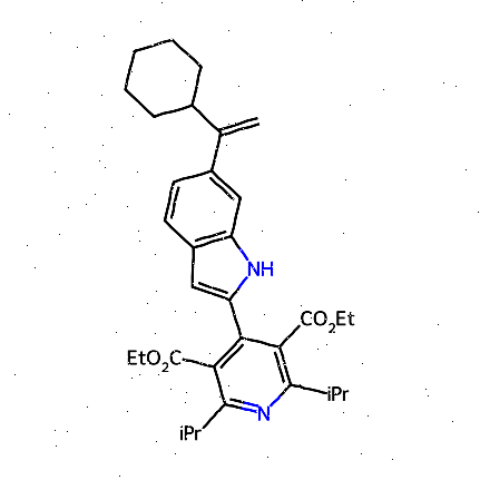 C=C(c1ccc2cc(-c3c(C(=O)OCC)c(C(C)C)nc(C(C)C)c3C(=O)OCC)[nH]c2c1)C1CCCCC1